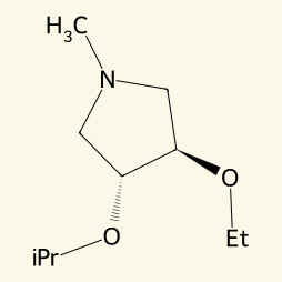 CCO[C@@H]1CN(C)C[C@H]1OC(C)C